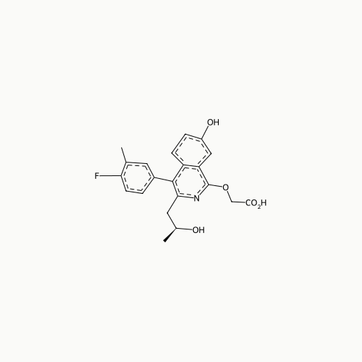 Cc1cc(-c2c(C[C@H](C)O)nc(OCC(=O)O)c3cc(O)ccc23)ccc1F